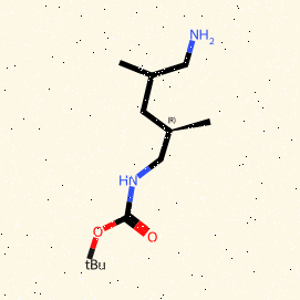 CC(CN)C[C@@H](C)CNC(=O)OC(C)(C)C